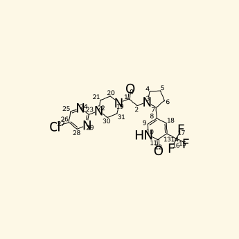 O=C(CN1CCCC1c1c[nH]c(=O)c(C(F)(F)F)c1)N1CCN(c2ncc(Cl)cn2)CC1